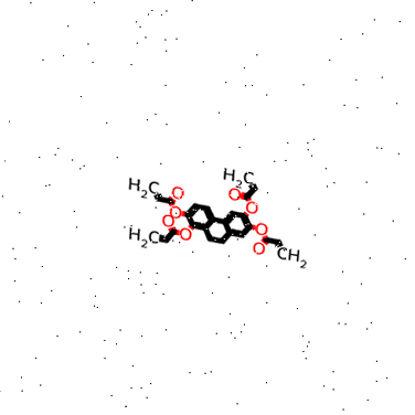 C=CC(=O)Oc1cc2c(cc1OC(=O)C=C)-c1ccc(OC(=O)C=C)c(OC(=O)C=C)c1CC2